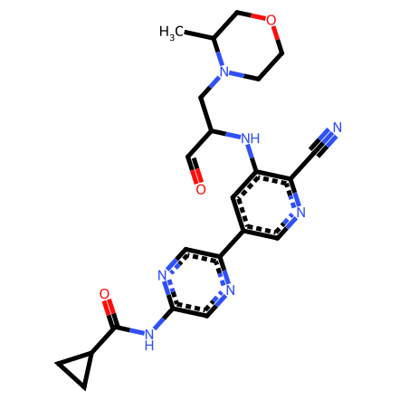 CC1COCCN1CC(C=O)Nc1cc(-c2cnc(NC(=O)C3CC3)cn2)cnc1C#N